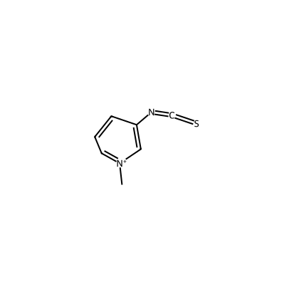 C[n+]1cccc(N=C=S)c1